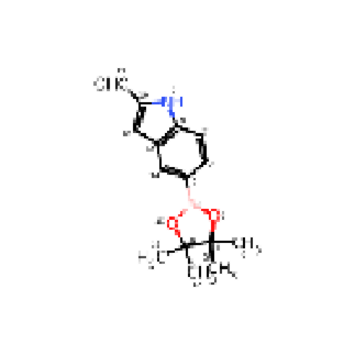 CC1(C)OB(c2ccc3[nH]c(C=O)cc3c2)OC1(C)C